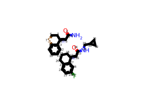 NC(=O)/C=C1\CCSc2ccccc21.O=C(/C=C1\CCCc2ccc(F)cc21)NCC1CC1